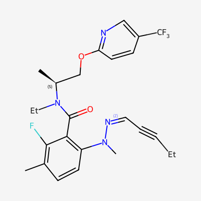 CCC#C/C=N\N(C)c1ccc(C)c(F)c1C(=O)N(CC)[C@@H](C)COc1ccc(C(F)(F)F)cn1